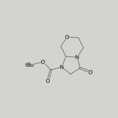 CC(C)(C)OC(=O)N1CC(=O)N2CCOCC21